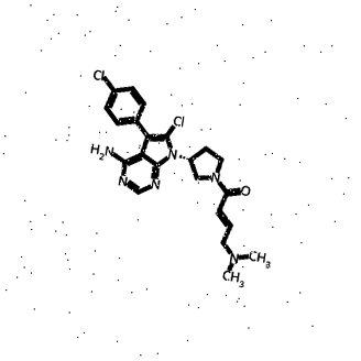 CN(C)C/C=C/C(=O)N1CC[C@@H](n2c(Cl)c(-c3ccc(Cl)cc3)c3c(N)ncnc32)C1